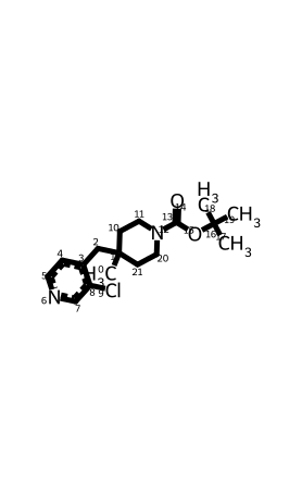 CC1(Cc2ccncc2Cl)CCN(C(=O)OC(C)(C)C)CC1